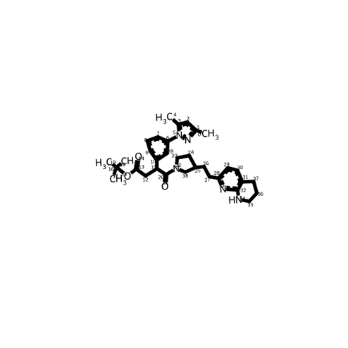 Cc1cc(C)n(-c2cccc(C(CC(=O)OC(C)(C)C)C(=O)N3CCC(CCc4ccc5c(n4)NCCC5)C3)c2)n1